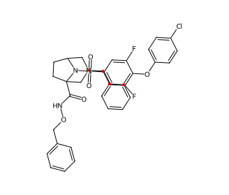 O=C(NOCc1ccccc1)C12CCC(CN(Cc3ccccc3)C1)N2S(=O)(=O)c1cc(F)c(Oc2ccc(Cl)cc2)c(F)c1